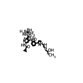 BC(B)(B)NC(=O)c1nnc(NC(=O)C2CC2)cc1Nc1cccc(-c2ccn(CCNC[C@H](O)CC)n2)c1OC